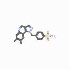 Cc1cc2ncc3cnn(Cc4ccc(S(N)(=O)=O)cc4)c3c2cc1C